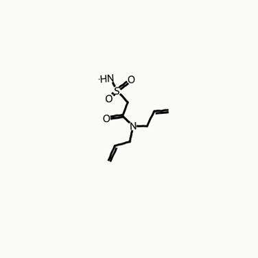 C=CCN(CC=C)C(=O)CS([NH])(=O)=O